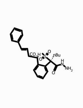 CCCC[C@](C(=O)NN)(c1ccccc1[C@H](C/C=C/c1ccccc1)C(=O)O)S(C)(=O)=O